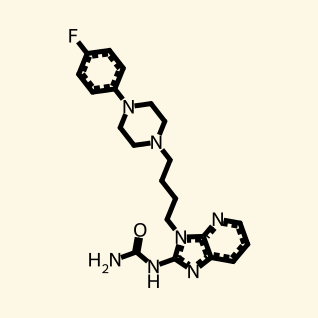 NC(=O)Nc1nc2cccnc2n1CCCCN1CCN(c2ccc(F)cc2)CC1